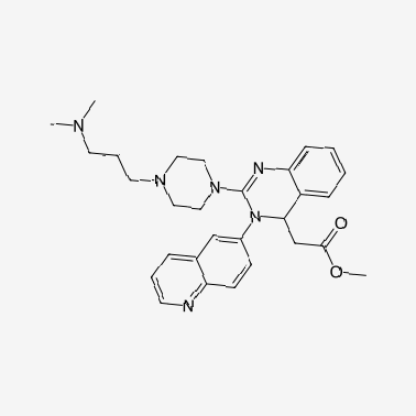 COC(=O)CC1c2ccccc2N=C(N2CCN(CCCN(C)C)CC2)N1c1ccc2ncccc2c1